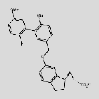 CCOC(=O)[C@H]1C[C@]12CCc1ccc(OCc3ccc(C(C)(C)C)c(-c4cc(OC)ccc4F)c3)cc12